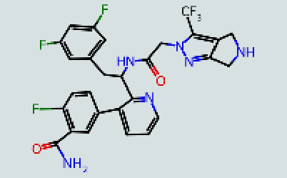 NC(=O)c1cc(-c2cccnc2C(Cc2cc(F)cc(F)c2)NC(=O)Cn2nc3c(c2C(F)(F)F)CNC3)ccc1F